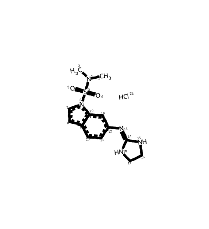 CN(C)S(=O)(=O)n1ccc2ccc(N=C3NCCN3)cc21.Cl